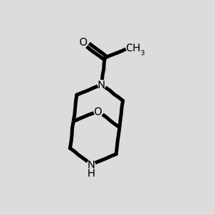 CC(=O)N1CC2CNCC(C1)O2